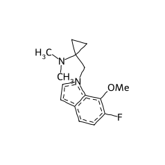 COc1c(F)ccc2ccn(CC3(N(C)C)CC3)c12